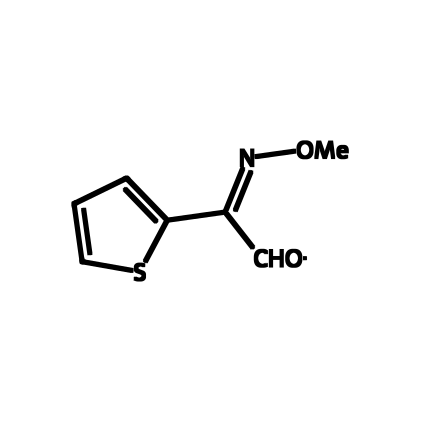 CON=C([C]=O)c1cccs1